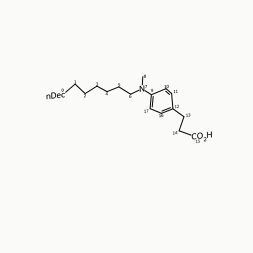 CCCCCCCCCCCCCCCCN(C)c1ccc(CCC(=O)O)cc1